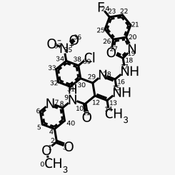 COC(=O)c1ccnc(NC(=O)C2=C(C)NC(Nc3nc4ccc(F)cc4o3)=NC2c2cccc([N+](=O)[O-])c2Cl)c1